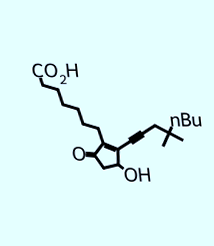 CCCCC(C)(C)CC#CC1=C(CCCCCCC(=O)O)C(=O)CC1O